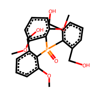 COc1cccc(CO)c1P(=O)(c1c(CO)cccc1CO)c1c(OC)cccc1OC